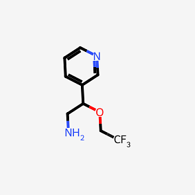 NCC(OCC(F)(F)F)c1cccnc1